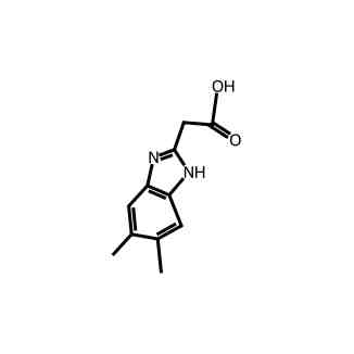 Cc1cc2nc(CC(=O)O)[nH]c2cc1C